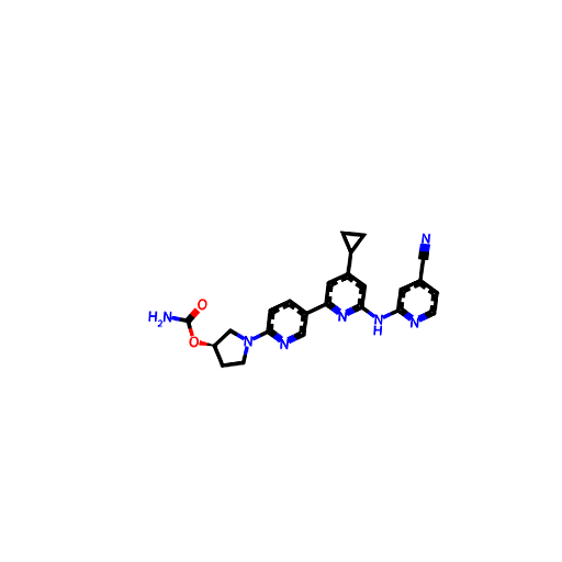 N#Cc1ccnc(Nc2cc(C3CC3)cc(-c3ccc(N4CC[C@@H](OC(N)=O)C4)nc3)n2)c1